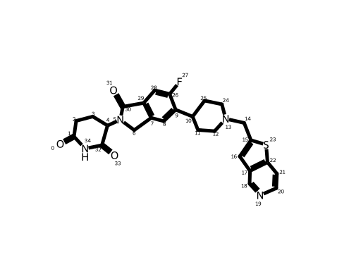 O=C1CCC(N2Cc3cc(C4CCN(Cc5cc6cnccc6s5)CC4)c(F)cc3C2=O)C(=O)N1